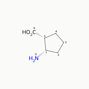 N[C@H]1CCC[C@H]1C(=O)O